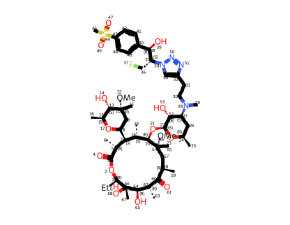 CC[C@H]1OC(=O)[C@H](C)[C@@H](C2C[C@@](C)(OC)[C@@H](O)[C@H](C)O2)[C@H](C)[C@@H](O[C@@H]2O[C@H](C)C[C@H](N(C)CCc3cn([C@H](CF)[C@H](O)c4ccc(S(C)(=O)=O)cc4)nn3)[C@H]2O)[C@](C)(OC)C[C@@H](C)C(=O)[C@H](C)[C@@H](O)[C@]1(C)O